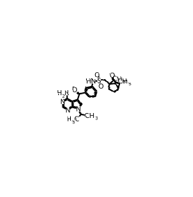 CC(C)n1cc(C(=O)c2cccc(NS(=O)(=O)CC34CCC(CC3=O)C4(C)C)c2)c2c(N)ncnc21